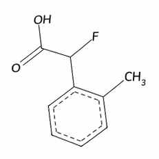 Cc1ccccc1C(F)C(=O)O